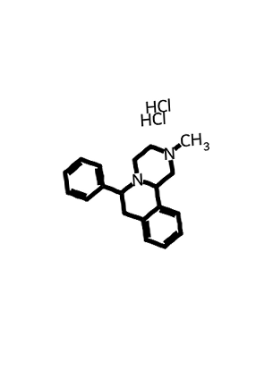 CN1CCN2C(c3ccccc3)Cc3ccccc3C2C1.Cl.Cl